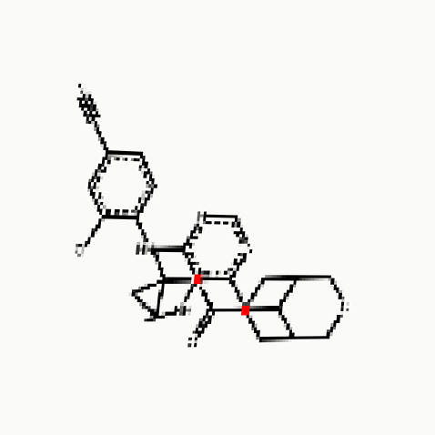 CNc1c(Nc2ccc(C#N)cc2Cl)ncnc1OC1C2COCC1CN(C(=O)OC1(C)CC1)C2